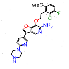 COc1ccc(F)c(Cl)c1CCOc1c(N)ncc2c(-c3ccc(N4CCNCC4)nc3)coc12